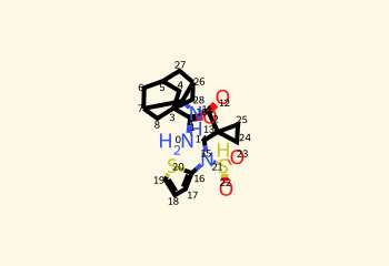 NC(=O)C12CC3CC(C1)C(NC(=O)C1(CN(c4cccs4)[SH](=O)=O)CC1)C(C3)C2